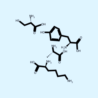 C[C@H](N)C(=O)O.NCCCC[C@H](N)C(=O)O.N[C@@H](CS)C(=O)O.N[C@@H](Cc1ccc(O)cc1)C(=O)O